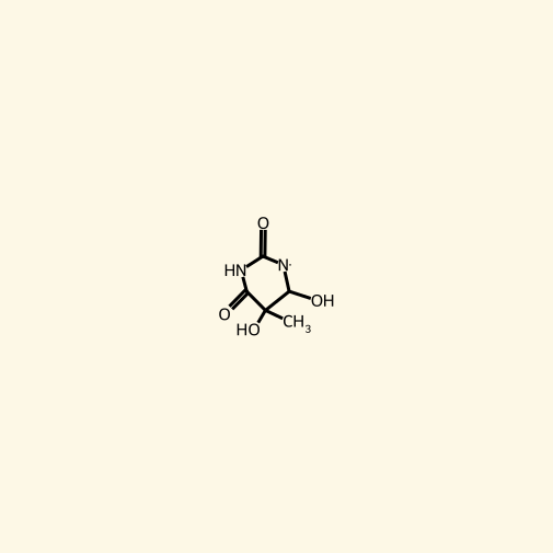 CC1(O)C(=O)NC(=O)[N]C1O